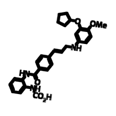 COc1ccc(NCC=Cc2ccc(C(=O)Nc3ccccc3NC(=O)O)cc2)cc1OC1CCCC1